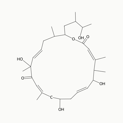 C/C1=C/C(=O)C(C)(O)/C=C/CC(C)C(CC(C)C(C)O)OC(=O)/C=C(/C)C(C)C(O)/C=C/CC(O)C1